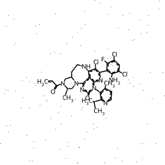 C=CC(=O)N1CC2CCNc3c(Cl)c(-c4c(N)c(Cl)cc(Cl)c4F)nc4c3c(nc(=O)n4-c3c(C)ccnc3C(C)C)N2CC1C